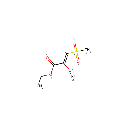 CCOC(=O)/C([O-])=C/S(C)(=O)=O.[K+]